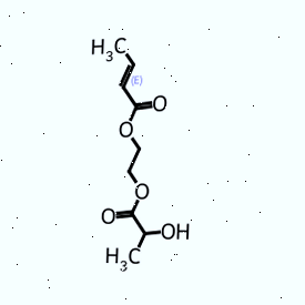 C/C=C/C(=O)OCCOC(=O)C(C)O